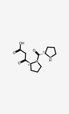 O=C(O)CC(=O)[C@@H]1CCCN1C(=O)[C@@H]1CCCN1